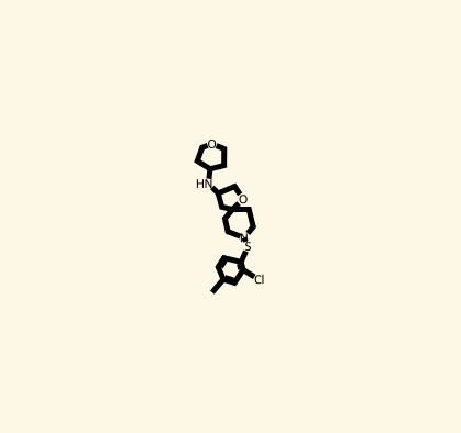 Cc1ccc(SN2CCC3(CC2)CC(NC2CCOCC2)CO3)c(Cl)c1